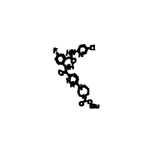 CC(C)(C)OC(=O)N1CCCN(c2ccc(C(=O)Nc3ccc(F)cc3C(=O)Nc3ccc(Cl)cn3)nn2)CC1